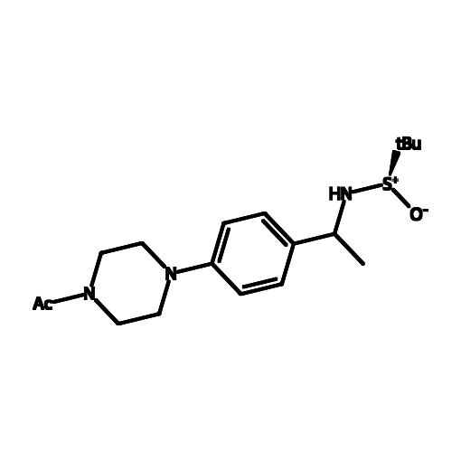 CC(=O)N1CCN(c2ccc(C(C)N[S@+]([O-])C(C)(C)C)cc2)CC1